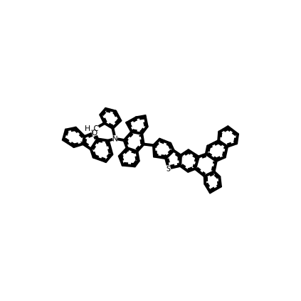 Cc1ccccc1N(c1c2ccccc2c(-c2ccc3c(c2)sc2cc4c5ccccc5c5cc6ccccc6cc5c4cc23)c2ccccc12)c1cccc2c1oc1ccccc12